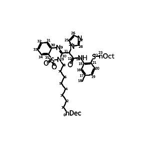 CCCCCCCCCCCCCCCCCCN1C(C(C(=O)Nc2cc(C)ccc2SCCCCCCCC)n2ccnc2)=Nc2ccccc2S1(=O)=O